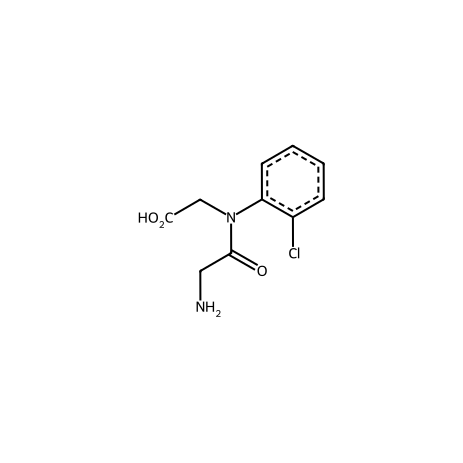 NCC(=O)N(CC(=O)O)c1ccccc1Cl